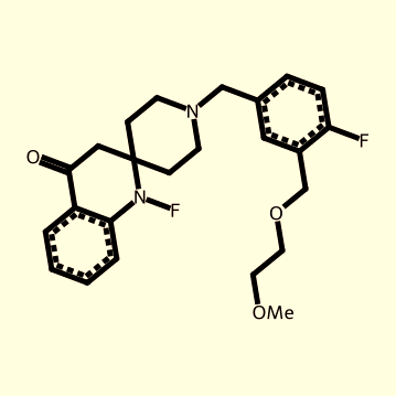 COCCOCc1cc(CN2CCC3(CC2)CC(=O)c2ccccc2N3F)ccc1F